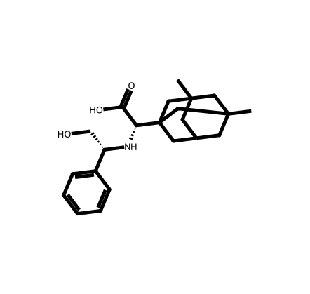 CC12CC3CC(C)(C1)CC([C@H](N[C@@H](CO)c1ccccc1)C(=O)O)(C3)C2